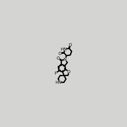 O=C1CCC(N2Cc3c(cc(F)c4c3OCC43CCNCC3)C2=O)C(=O)N1